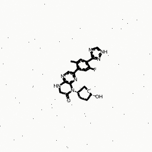 Cc1cc(-c2nc[nH]n2)c(F)cc1-c1cnc2c(n1)N([C@H]1CC[C@@H](O)CC1)C(=O)CN2